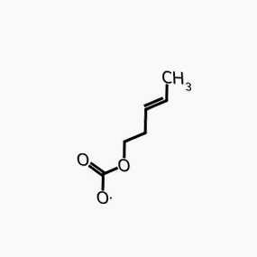 CC=CCCOC([O])=O